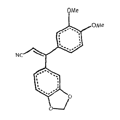 COc1ccc(/C(=C/C#N)c2ccc3c(c2)OCO3)cc1OC